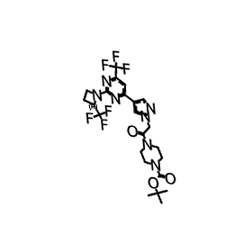 CC(C)(C)OC(=O)N1CCN(C(=O)Cn2cc(-c3cc(C(F)(F)F)nc(N4CC[C@@H]4C(F)(F)F)n3)cn2)CC1